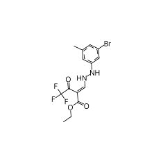 CCOC(=O)/C(=C/NNc1cc(C)cc(Br)c1)C(=O)C(F)(F)F